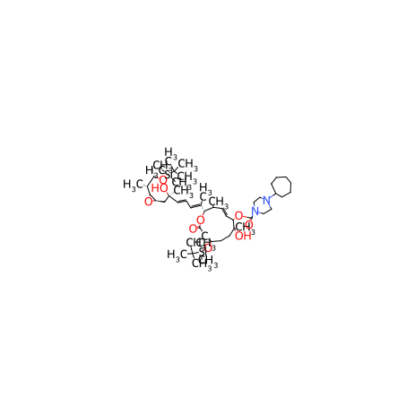 CC[C@H](O[Si](C)(C)C(C)(C)C)[C@@H](C)[C@H]1O[C@@H]1C[C@@](C)(O)/C=C/C=C(\C)[C@H]1OC(=O)C[C@H](O[Si](C)(C)C(C)(C)C)CC[C@@](C)(O)[C@@H](OC(=O)N2CCN(C3CCCCCC3)CC2)/C=C/[C@@H]1C